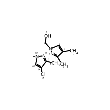 Cc1cn(CO)nc1C.Cc1n[nH]cc1Cl